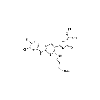 CCO/C(O)=C1\SC(c2cnc(Nc3ccc(F)c(Cl)c3)nc2NCCCOC)=NC1=O